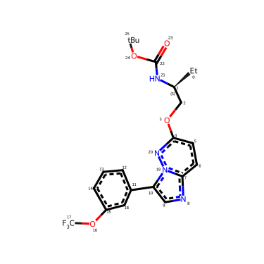 CC[C@@H](COc1ccc2ncc(-c3cccc(OC(F)(F)F)c3)n2n1)NC(=O)OC(C)(C)C